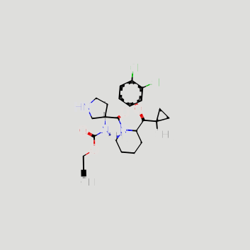 C#CCOC(=O)N(C)[C@@]1(C(=O)N2CCCCC2C(=O)C2(C)CC2)CNC[C@@H]1c1ccc(Cl)c(Cl)c1